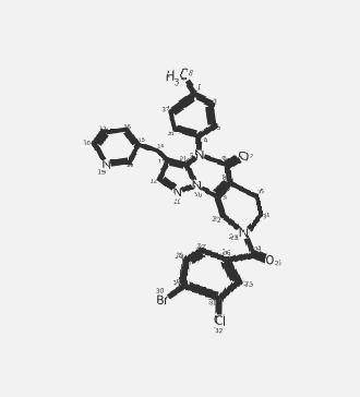 Cc1ccc(-n2c(=O)c3c(n4ncc(Cc5cccnc5)c24)CN(C(=O)c2ccc(Br)c(Cl)c2)CC3)cc1